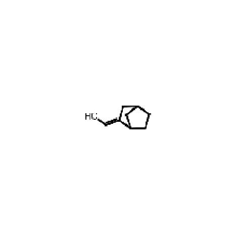 O[C]=C1CC2CCC1C2